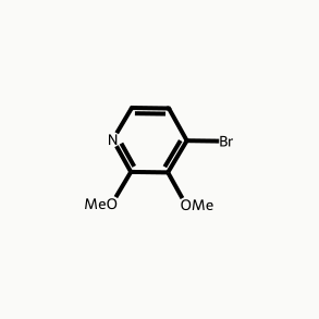 COc1nccc(Br)c1OC